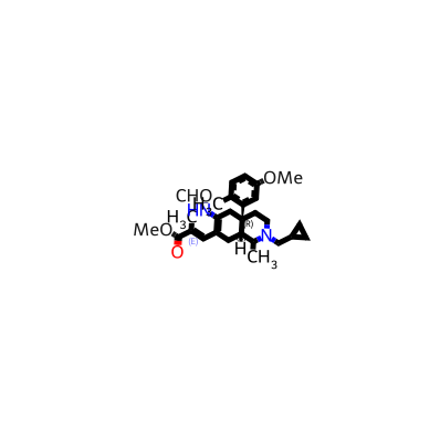 COC(=O)/C(C)=C/C1=C(NC=O)C[C@]2(c3cc(OC)ccc3C)CCN(CC3CC3)C(C)[C@@H]2C1